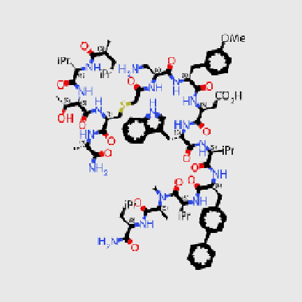 COc1cccc(C[C@H](NC(=O)[C@H](CN)NC(=O)CSC[C@H](NC(=O)[C@@H](NC(=O)[C@@H](NC(=O)[C@@H](C)CC(C)C)C(C)C)[C@@H](C)O)C(=O)N[C@@H](C)C(N)=O)C(=O)N[C@@H](CC(=O)O)C(=O)N[C@@H](Cc2c[nH]c3ccccc23)C(=O)N[C@H](C(=O)N[C@@H](Cc2ccc(-c3ccccc3)cc2)C(=O)N[C@H](C(=O)N(C)[C@@H](C)C(=O)N[C@H](CC(C)C)C(N)=O)C(C)C)C(C)C)c1